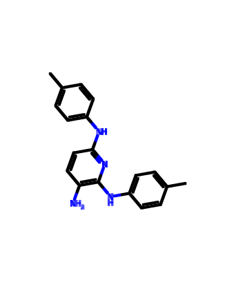 Cc1ccc(Nc2ccc(N)c(Nc3ccc(C)cc3)n2)cc1